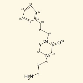 NCCCN1CCN(CCCc2ccccc2)C(=O)C1